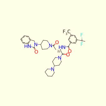 CC(F)(F)c1cc(C(=O)N[C@@H](CC(=O)N2CCC(N3Cc4ccccc4NC3=O)CC2)C(=O)N2CCC(N3CCCCC3)CC2)cc(C(F)(F)F)c1